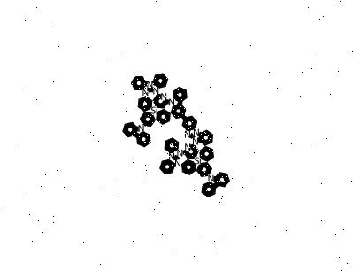 c1ccc([Si](c2ccccc2)(c2ccc(-n3c4ccccc4c4ccccc43)cc2)c2cc(-n3c4ccccc4c4cc(-c5ccc6c(c5)nc5n(-c7cc([Si](c8ccccc8)(c8ccccc8)c8ccc(-n9c%10ccccc%10c%10ccccc%109)cc8)cc(-n8c9ccccc9n9c%10ccccc%10nc89)n7)c7ccccc7n65)ccc43)nc(-n3c4ccccc4n4c5ccccc5nc34)c2)cc1